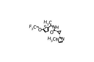 CC(NC(=O)[C@H]1C[C@@H]1c1nccn1C)c1ccc(OCC(F)(F)F)s1